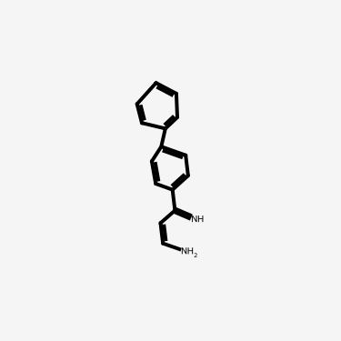 N=C(/C=C\N)c1ccc(-c2ccccc2)cc1